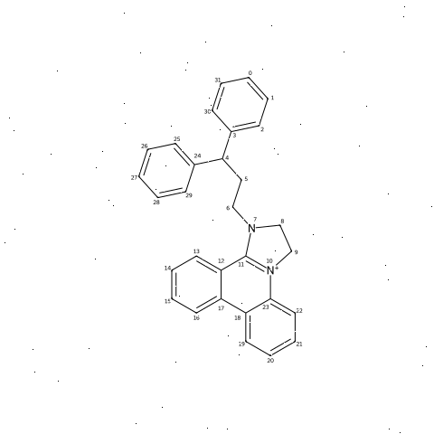 c1ccc(C(CCN2CC[n+]3c2c2ccccc2c2ccccc23)c2ccccc2)cc1